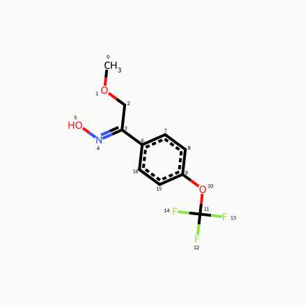 COC/C(=N\O)c1ccc(OC(F)(F)F)cc1